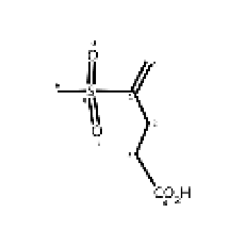 C=C(CCC(=O)O)S(C)(=O)=O